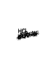 Cl.Cl.Cn1c2c(c3ccc(-n4ccc(OCc5ccc(F)cn5)cc4=O)cc31)C1CCC(C2)N1